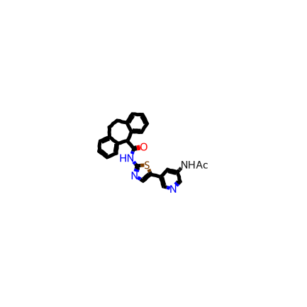 CC(=O)Nc1cncc(-c2cnc(NC(=O)C3c4ccccc4CCc4ccccc43)s2)c1